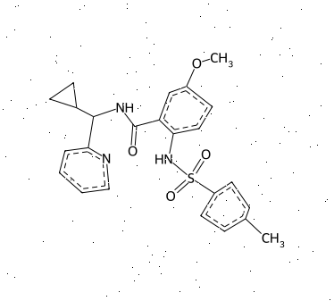 COc1ccc(NS(=O)(=O)c2ccc(C)cc2)c(C(=O)NC(c2ccccn2)C2CC2)c1